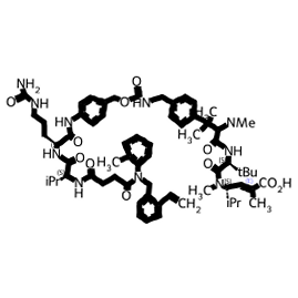 C=Cc1ccccc1CN(C(=O)CCC(=O)N[C@H](C(=O)N[C@@H](CCCNC(N)=O)C(=O)Nc1ccc(COC(=O)NCc2ccc(C(C)(C)C(NC)C(=O)N[C@H](C(=O)N(C)[C@H](/C=C(\C)C(=O)O)C(C)C)C(C)(C)C)cc2)cc1)C(C)C)c1ccccc1C